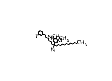 CCCCCCCCCCCCC(C#N)(CCCC(CCc1cccc(F)c1)N=NC)c1cccc(OC)c1